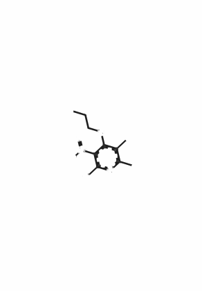 CCCNc1c(C)c(C)nc(Cl)c1[N+](=O)[O-]